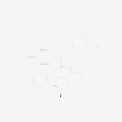 COc1ccc(C)cc1C1(N2C[C@H](O)C[C@H]2C(=O)N(C)C)C(=O)N(S(=O)(=O)c2cc(OC)c(OC)c(OC(F)(F)F)c2)c2ccc(Cl)cc21